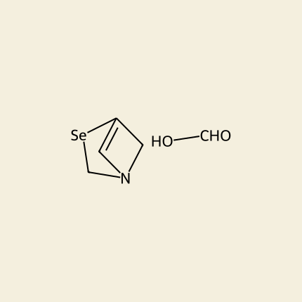 C1=C2CN1C[Se]2.O=CO